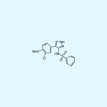 CSc1ccc(-c2c[nH]nc2NS(=O)(=O)c2ccccc2)cc1Cl